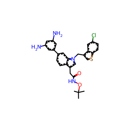 CC(C)(C)ONC(=O)Cc1cn(Cc2csc3ccc(Cl)cc23)c2cc(-c3cc(N)cc(N)c3)ccc12